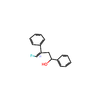 OC(C/C(=[C]/F)c1ccccc1)c1ccccc1